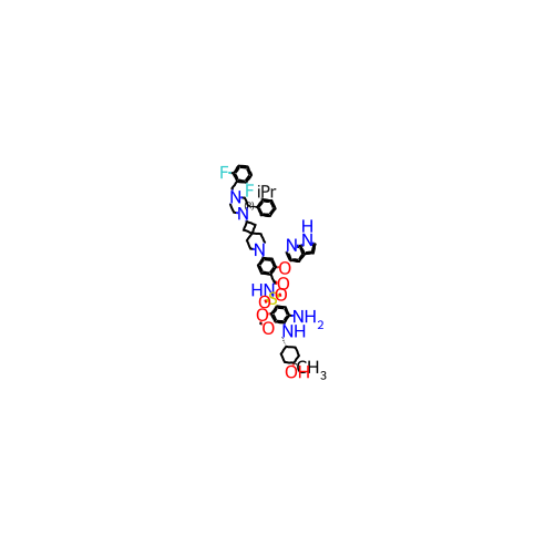 CC(C)c1ccccc1[C@@H]1CN(Cc2c(F)cccc2F)CCN1C1CC2(CCN(c3ccc(C(=O)NS(=O)(=O)c4cc(N)c(NC[C@H]5CC[C@](C)(O)CC5)c5c4OCO5)c(Oc4cnc5[nH]ccc5c4)c3)CC2)C1